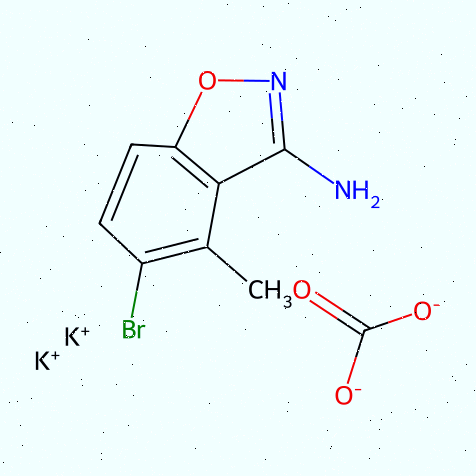 Cc1c(Br)ccc2onc(N)c12.O=C([O-])[O-].[K+].[K+]